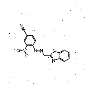 N#Cc1ccc(N=NCc2nc3ccccc3s2)c([N+](=O)[O-])c1